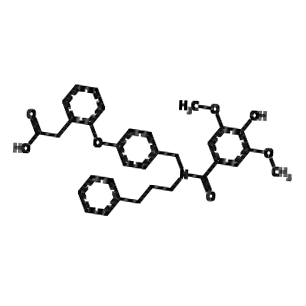 COc1cc(C(=O)N(CCCc2ccccc2)Cc2ccc(Oc3ccccc3CC(=O)O)cc2)cc(OC)c1O